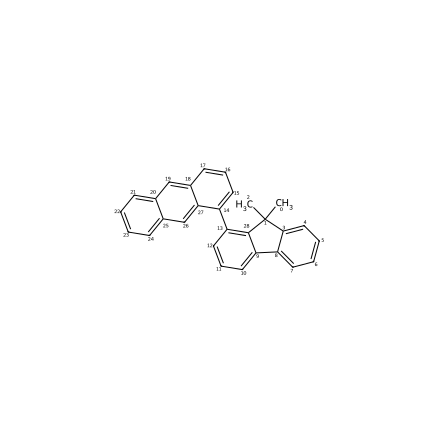 CC1(C)c2ccccc2-c2cccc(-c3cccc4cc5ccccc5cc34)c21